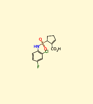 O=C(O)C1=CCCC1S(=O)(=O)Nc1ccc(F)cc1Cl